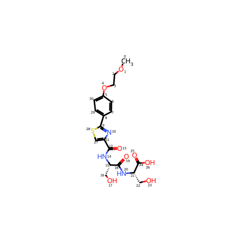 COCCOc1ccc(-c2nc(C(=O)N[C@@H](CO)C(=O)N[C@@H](CO)C(=O)O)cs2)cc1